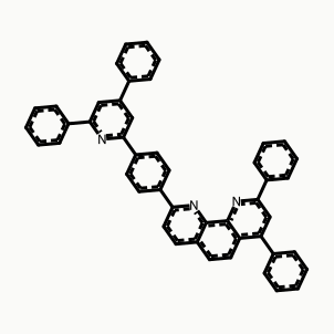 c1ccc(-c2cc(-c3ccccc3)nc(-c3ccc(-c4ccc5ccc6c(-c7ccccc7)cc(-c7ccccc7)nc6c5n4)cc3)c2)cc1